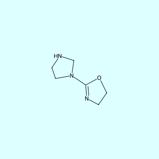 C1COC(N2CCNC2)=N1